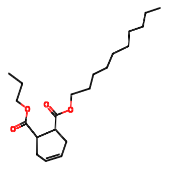 CCCCCCCCCCOC(=O)C1CC=CCC1C(=O)OCCC